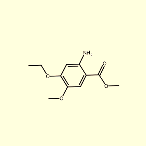 CCOc1cc(N)c(C(=O)OC)cc1OC